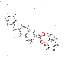 C/C(=C\c1ccc(Cc2cccnc2)cc1)C(=O)Oc1ccccc1C